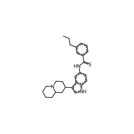 CCCc1cccc(C(=S)Nc2ccc3[nH]cc(C4CCN5CCCCC5C4)c3c2)c1